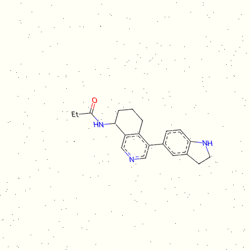 CCC(=O)NC1CCCc2c(-c3ccc4c(c3)CCN4)cncc21